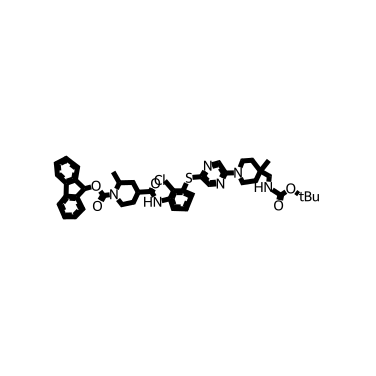 CC1CC(C(=O)Nc2cccc(Sc3cnc(N4CCC(C)(CNC(=O)OC(C)(C)C)CC4)cn3)c2Cl)CCN1C(=O)OC1c2ccccc2-c2ccccc21